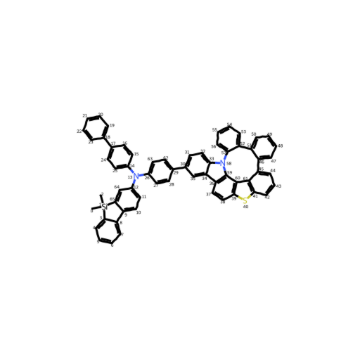 C[Si]1(C)c2ccccc2-c2ccc(N(c3ccc(-c4ccccc4)cc3)c3ccc(-c4ccc5c(c4)c4ccc6sc7cccc8c9ccccc9c9ccccc9n5c4c6c78)cc3)cc21